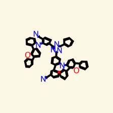 N#Cc1cccc(-c2ccc(-c3nc(-c4ccccc4)nc(-c4ccc(C#N)c(-n5c6ccccc6c6c7oc8ccccc8c7ccc65)c4)n3)cc2-n2c3ccccc3c3c4oc5ccccc5c4ccc32)c1